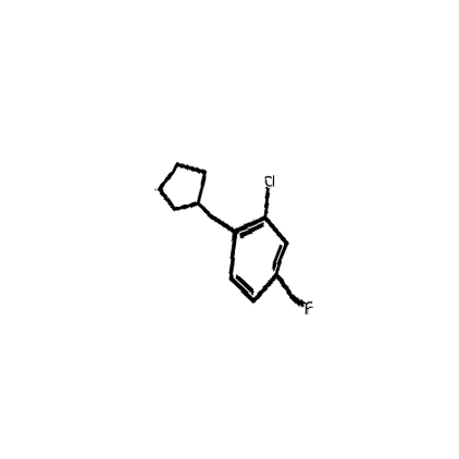 Fc1ccc(C2C[CH]CC2)c(Cl)c1